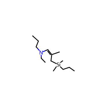 CCCN(C=C(C)C[Si](C)(C)CCC)CC